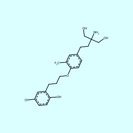 NC(CO)(CO)CCc1ccc(OCCCc2cc(Cl)ccc2O)c(C(F)(F)F)c1